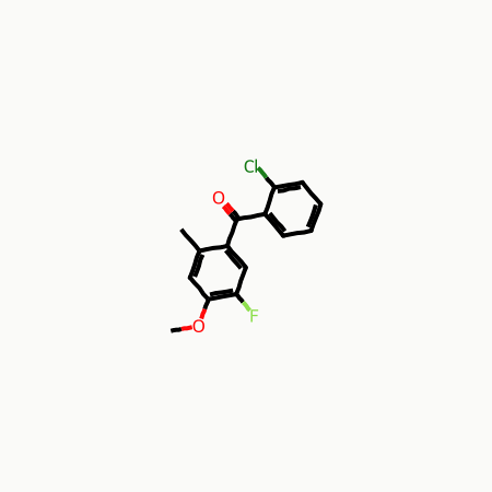 COc1cc(C)c(C(=O)c2ccccc2Cl)cc1F